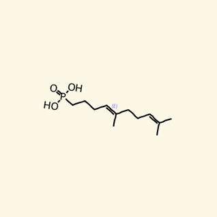 CC(C)=CCC/C(C)=C/CCCP(=O)(O)O